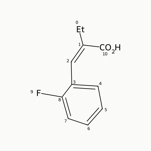 CCC(=Cc1ccccc1F)C(=O)O